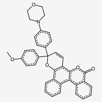 COc1ccc(C2(c3ccc(N4CCOCC4)cc3)C=Cc3c(c4ccccc4c4c3oc(=O)c3ccccc34)O2)cc1